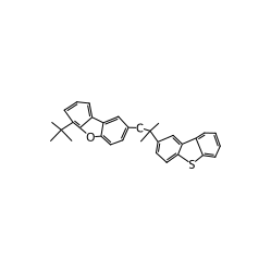 CC(C)(C)c1cccc2c1oc1ccc(CC(C)(C)c3ccc4sc5ccccc5c4c3)cc12